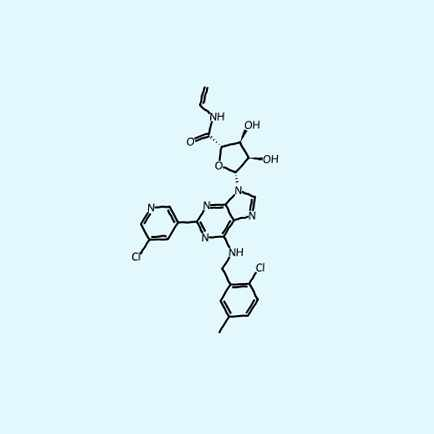 C=CNC(=O)[C@H]1O[C@@H](n2cnc3c(NCc4cc(C)ccc4Cl)nc(-c4cncc(Cl)c4)nc32)[C@H](O)[C@@H]1O